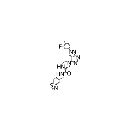 Cc1ccc(-n2cc3c(N4CCN[C@H](C(=O)NCc5ccc6scnc6c5)C4)ncnc3n2)cc1F